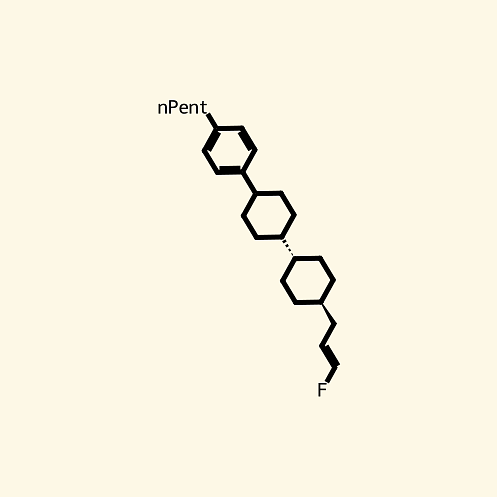 CCCCCc1ccc(C2CCC([C@H]3CC[C@H](C/C=C/F)CC3)CC2)cc1